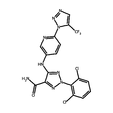 NC(=O)c1nn(-c2c(Cl)cccc2Cl)nc1Nc1ccc(-n2nncc2C(F)(F)F)nc1